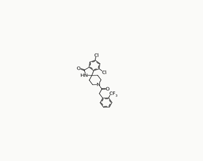 O=C1NC2(CCN(C(=O)Cc3ccccc3C(F)(F)F)CC2)c2c(Cl)cc(Cl)cc21